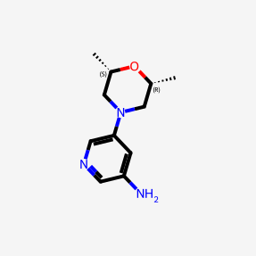 C[C@@H]1CN(c2cncc(N)c2)C[C@H](C)O1